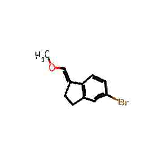 COC=C1CCc2cc(Br)ccc21